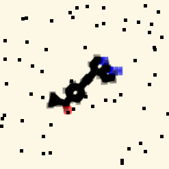 O=C(c1ccc(C#Cc2ccnc3[nH]ccc23)cc1)C1CC1